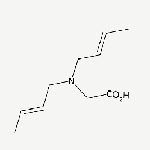 C/C=C/CN(C/C=C/C)CC(=O)O